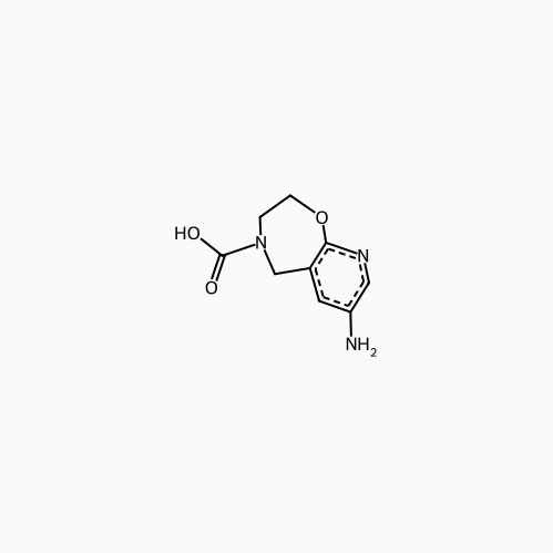 Nc1cnc2c(c1)CN(C(=O)O)CCO2